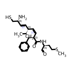 CSCC[C@@H](C=O)NC(=O)[C@H](/C=C\[C@@H](/C=C/[C@@H](N)CS)C(C)C)Cc1ccccc1